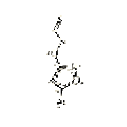 C=CCOc1cc(C(C)=O)on1